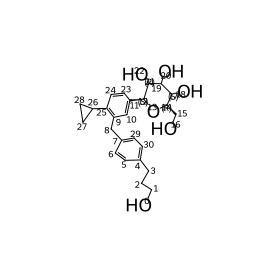 OCCCc1ccc(Cc2cc([C@@H]3O[C@H](CO)[C@@H](O)C(O)[C@H]3O)ccc2C2CC2)cc1